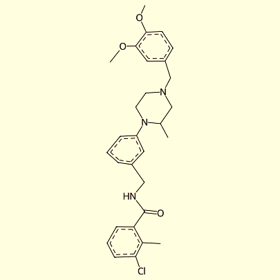 COc1ccc(CN2CCN(c3cccc(CNC(=O)c4cccc(Cl)c4C)c3)C(C)C2)cc1OC